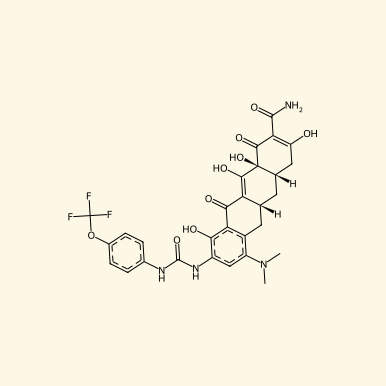 CN(C)c1cc(NC(=O)Nc2ccc(OC(F)(F)F)cc2)c(O)c2c1C[C@H]1C[C@H]3CC(O)=C(C(N)=O)C(=O)[C@@]3(O)C(O)=C1C2=O